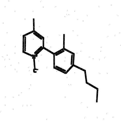 [CH2-][n+]1ccc(C)cc1-c1ccc(CCCC)cc1C